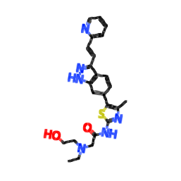 CCN(CCO)CC(=O)Nc1nc(C)c(-c2ccc3c(/C=C/c4ccccn4)n[nH]c3c2)s1